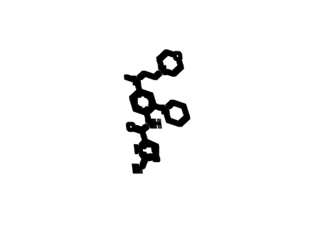 CN(CCN1CCOCC1)c1ccc(NC(=O)c2csc(Br)n2)c(N2CCCCC2)c1